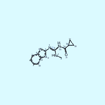 CN/C(=N\c1nc2ccccc2s1)NC(=O)C1CC1